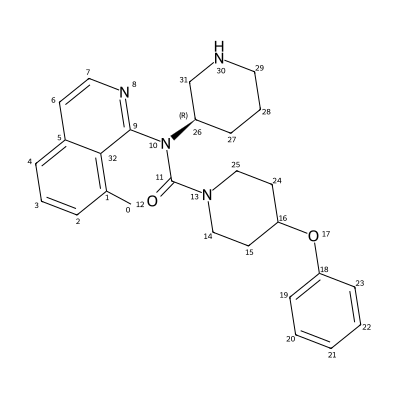 Cc1cccc2ccnc(N(C(=O)N3CCC(Oc4ccccc4)CC3)[C@@H]3CCCNC3)c12